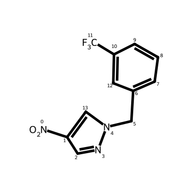 O=[N+]([O-])c1cnn(Cc2cccc(C(F)(F)F)c2)c1